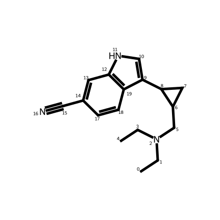 CCN(CC)CC1CC1c1c[nH]c2cc(C#N)ccc12